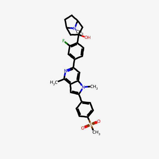 Cc1nc(-c2ccc(C3(O)CC4CCC(C3)N4C)c(F)c2)cc2c1cc(-c1ccc(S(C)(=O)=O)cc1)n2C